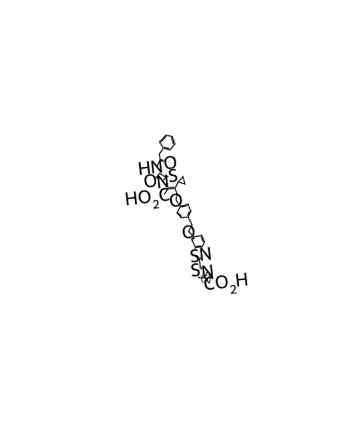 O=C(Cc1ccccc1)NC1C(=O)N2C(C(=O)O)=C(COc3ccc(COc4ccc5nc(C6=N[C@@H](C(=O)O)CS6)sc5c4)cc3)C3(CC3)SC12